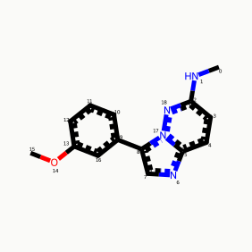 CNc1ccc2ncc(-c3cccc(OC)c3)n2n1